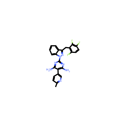 Cc1ccc(-c2c(N)nc(-n3nc(Cc4c(F)ccc(F)c4F)c4ccccc43)nc2N)cn1